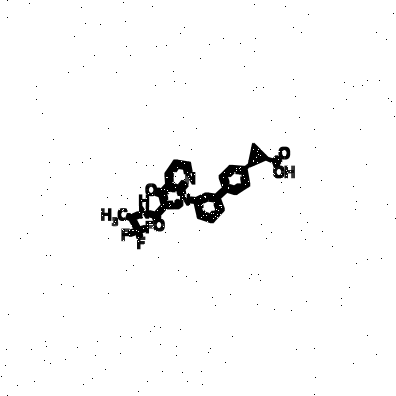 CC(NC(=O)c1cn(-c2cccc(-c3ccc([C@@H]4C[C@H]4C(=O)O)cc3)c2)c2ncccc2c1=O)C(F)(F)F